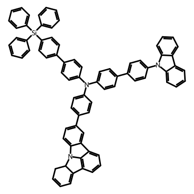 C1=CCC2C(=C1)c1cccc3c4cc(-c5ccc(N(c6ccc(-c7ccc(-n8c9ccccc9c9ccccc98)cc7)cc6)c6ccc(-c7ccc([Si](c8ccccc8)(c8ccccc8)c8ccccc8)cc7)cc6)cc5)ccc4n2c13